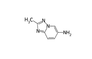 Cc1nc2ccc(N)cn2n1